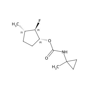 C[C@H]1CC[C@@H](OC(=O)NC2(C)CC2)[C@@H]1F